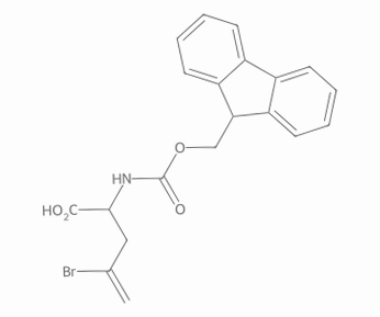 C=C(Br)CC(NC(=O)OCC1c2ccccc2-c2ccccc21)C(=O)O